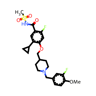 COc1ccc(CN2CCC(COc3cc(F)c(C(=O)NS(C)(=O)=O)cc3C3CC3)CC2)cc1F